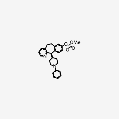 COS(=O)(=O)Oc1ccc2c(c1)CCc1cccnc1C2=C1CCN(c2ccccc2)CC1